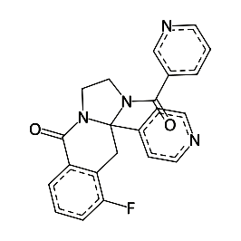 O=C(c1cccnc1)N1CCN2C(=O)c3cccc(F)c3CC12c1ccncc1